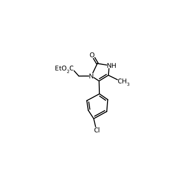 CCOC(=O)Cn1c(-c2ccc(Cl)cc2)c(C)[nH]c1=O